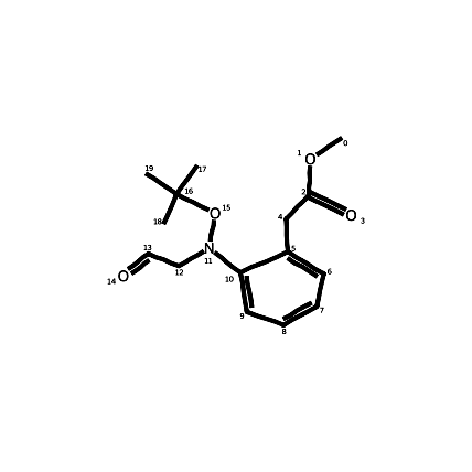 COC(=O)Cc1ccccc1N(CC=O)OC(C)(C)C